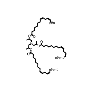 CCCC/C=C\C/C=C\CCCCCCC(=O)OC(C)CN(CC(C)OC(=O)CCCCCCC/C=C\C/C=C\CCCCC)CC(C)OC(=O)CCCCCCC/C=C\C/C=C\CCCCC